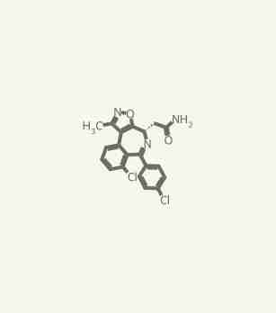 Cc1noc2c1-c1cccc(Cl)c1C(c1ccc(Cl)cc1)=N[C@H]2CC(N)=O